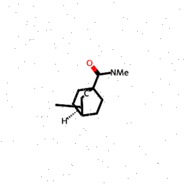 CNC(=O)C12CCC(CC1)[C@@H](C)CC2